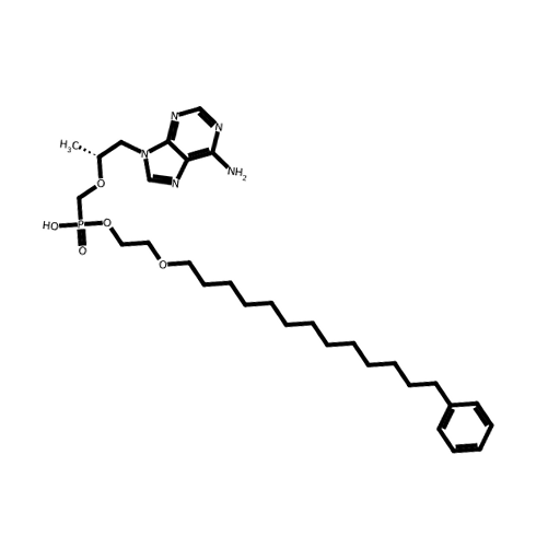 C[C@H](Cn1cnc2c(N)ncnc21)OCP(=O)(O)OCCOCCCCCCCCCCCCCc1ccccc1